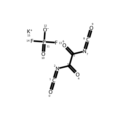 O=C=NC(=O)C(=O)N=C=O.O=P([O-])(F)F.[K+]